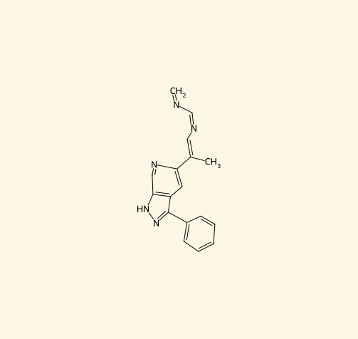 C=N/C=N\C=C(/C)c1cc2c(-c3ccccc3)n[nH]c2cn1